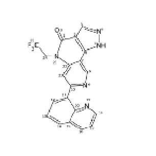 O=c1c2cn[nH]c2c2cnc(-c3cccc4cccnc34)cc2n1CC(F)(F)F